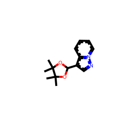 CC1(C)OC(c2cnn3ccccc23)OC1(C)C